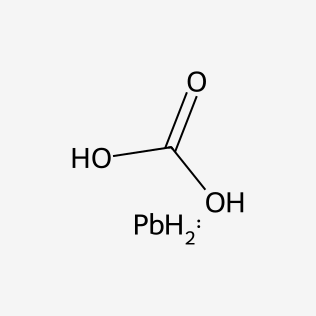 O=C(O)O.[PbH2]